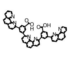 O=C(O)c1cc(-c2ccc3ccc4cccnc4c3n2)cc(-c2ccc3ccc4ccc(-c5cc(C(=O)O)cc(-c6ccc7ccc8cccnc8c7n6)c5)nc4c3n2)c1